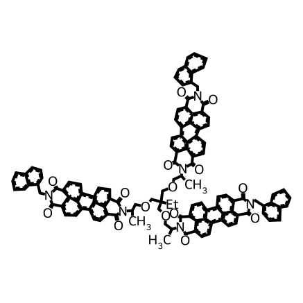 CCC(COCC(C)N1C(=O)c2ccc3c4ccc5c6c(ccc(c7ccc(c2c37)C1=O)c64)C(=O)N(Cc1cccc2ccccc12)C5=O)(COCC(C)N1C(=O)c2ccc3c4ccc5c6c(ccc(c7ccc(c2c37)C1=O)c64)C(=O)N(Cc1cccc2ccccc12)C5=O)COCC(C)N1C(=O)c2ccc3c4ccc5c6c(ccc(c7ccc(c2c37)C1=O)c64)C(=O)N(Cc1cccc2ccccc12)C5=O